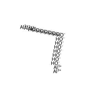 [Al+3].[Al+3].[Al+3].[Al+3].[Al+3].[OH-].[OH-].[OH-].[OH-].[OH-].[OH-].[OH-].[OH-].[OH-].[OH-].[OH-].[OH-].[OH-].[OH-].[OH-]